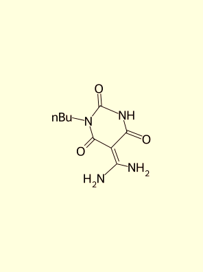 CCCCN1C(=O)NC(=O)C(=C(N)N)C1=O